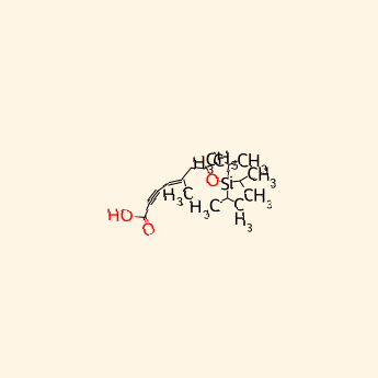 C/C(=C\C#CC(=O)O)C[C@H](C)O[Si](C(C)C)(C(C)C)C(C)C